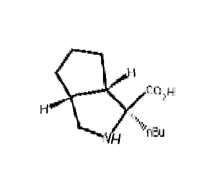 CCCC[C@]1(C(=O)O)NC[C@@H]2CCC[C@@H]21